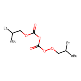 CCCCC(CC)COOC(=O)OC(=O)OCC(CC)CCCC